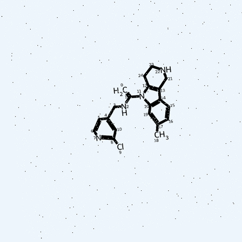 C=C(NCc1ccnc(Cl)c1)n1c2c(c3ccc(C)cc31)CNCC2